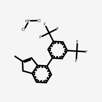 CC1=Cc2c(cccc2-c2cc(C(F)(F)F)cc(C(F)(F)F)c2)C1.[Cl][Hf][Cl]